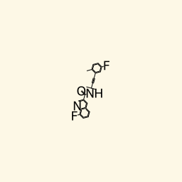 Cc1ccc(F)cc1C#CC(C)(C)NC(=O)c1cnc2c(F)cccc2c1